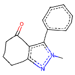 Cn1nc2c(c1-c1ccccc1)C(=O)CCC2